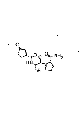 CCC[C@H](NC(=O)[C@@H]1CCC(=O)C1)C(=O)N1CCC[C@H]1C(N)=O